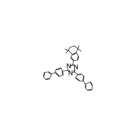 CC1(C)CCC(C)(C)c2cc(-c3nc(-c4ccc(-c5ccccc5)cc4)nc(-c4ccc(-c5ccccc5)cc4)n3)ccc21